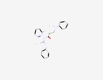 CCCCC(NC(=O)C(CN(CCCC)c1ccccc1)Sc1ccccn1)Nc1ccccc1